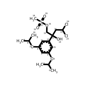 CC(C)Oc1cc(OC(C)C)cc(C(O)(COS(C)(=O)=O)CC(Cl)Cl)c1